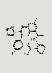 Cc1cc(C(C)Nc2ccccc2C(=O)O)c2cc(-c3ccc(F)cc3)c(-n3cncn3)nc2c1